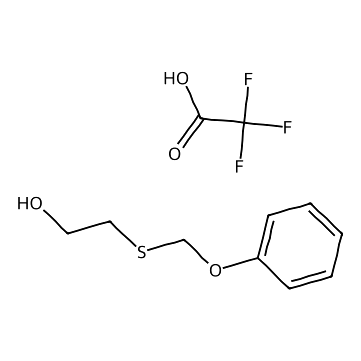 O=C(O)C(F)(F)F.OCCSCOc1ccccc1